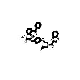 COC(=O)[C@H](Cc1ccc(OCCN(CC2CC2)C(=O)c2cnc3ccccc3n2)cc1)Nc1ccccc1C(=O)c1ccccc1